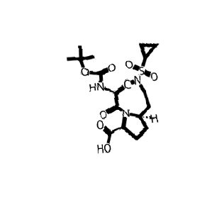 CC(C)(C)OC(=O)N[C@H]1CN(S(=O)(=O)C2CC2)CC[C@H]2CC[C@@H](C(=O)O)N2C1=O